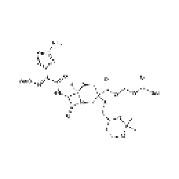 CON=C(C(=O)NC1C(=O)N2CC(SCC3CCOC(C)(C)O3)(C(=O)OCOC(=O)C(C)(C)C)CS[C@H]12)c1csc(N)n1